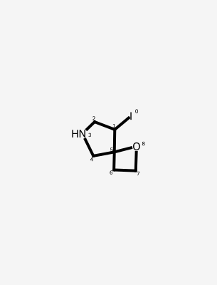 IC1CNCC12CCO2